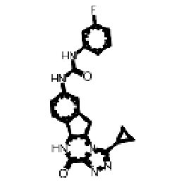 O=C(Nc1cccc(F)c1)Nc1ccc2c(c1)Cc1c-2[nH]c(=O)c2nnc(C3CC3)n12